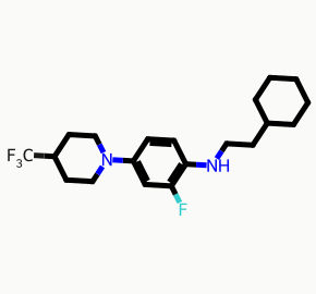 Fc1cc(N2CCC(C(F)(F)F)CC2)ccc1NCCC1CCCCC1